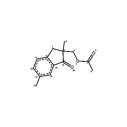 CC(=O)OCC1(C)Cc2ccc(C)cc2C1=O